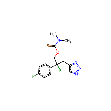 CN(C)C(=S)OCC(F)(Cc1c[nH]nn1)c1ccc(Cl)cc1